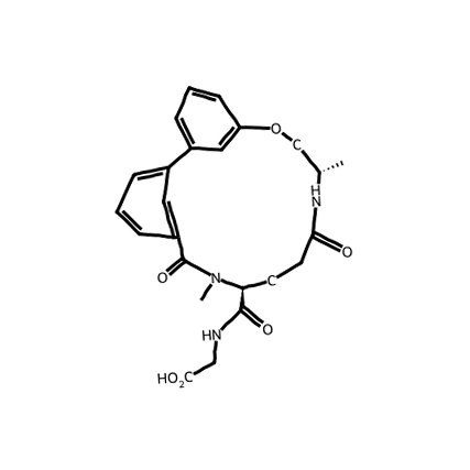 C[C@H]1COc2cccc(c2)-c2cccc(c2)C(=O)N(C)[C@H](C(=O)NCC(=O)O)CCC(=O)N1